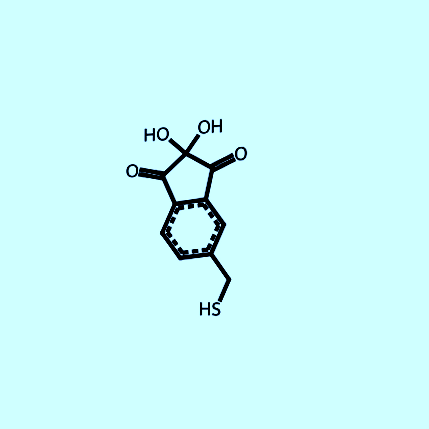 O=C1c2ccc(CS)cc2C(=O)C1(O)O